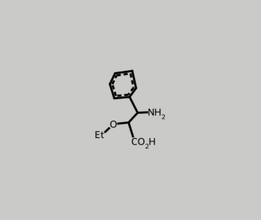 CCOC(C(=O)O)C(N)c1ccccc1